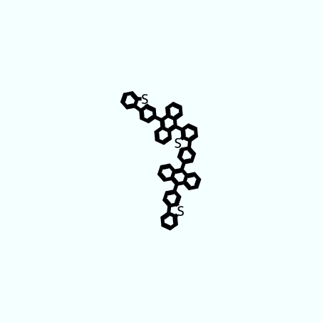 c1ccc2c(c1)sc1cc(-c3c4ccccc4c(-c4ccc5c(c4)sc4c(-c6c7ccccc7c(-c7ccc8c(c7)sc7ccccc78)c7ccccc67)cccc45)c4ccccc34)ccc12